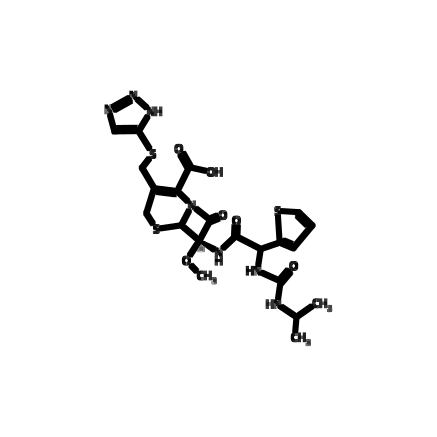 CO[C@@]1(NC(=O)C(NC(=O)NC(C)C)c2cccs2)C(=O)N2C(C(=O)O)=C(CSc3cnn[nH]3)CSC21